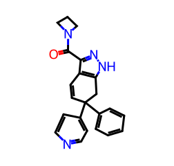 O=C(c1n[nH]c2c1C=CC(c1ccccc1)(c1ccncc1)C2)N1CCC1